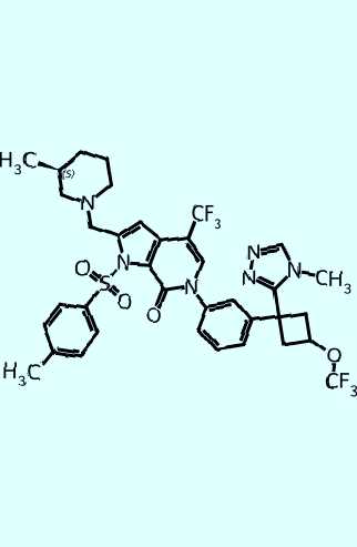 Cc1ccc(S(=O)(=O)n2c(CN3CCC[C@H](C)C3)cc3c(C(F)(F)F)cn(-c4cccc(C5(c6nncn6C)CC(OC(F)(F)F)C5)c4)c(=O)c32)cc1